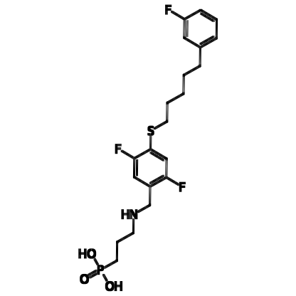 O=P(O)(O)CCCNCc1cc(F)c(SCCCCCc2cccc(F)c2)cc1F